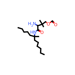 CCCCCCC(C)(CCCCC)NC(=O)C(N)C(C)(C)COC=O